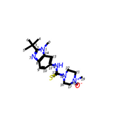 Cn1c(C(C)(C)C)nc2ccc(NC(=S)N3CC[N+](C)([O-])CC3)cc21